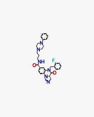 O=C(NCCCN1CCN(c2ccccc2)CC1)c1ccc2c(c1)N(Cc1ccccc1F)C(=O)C1CN=CN21